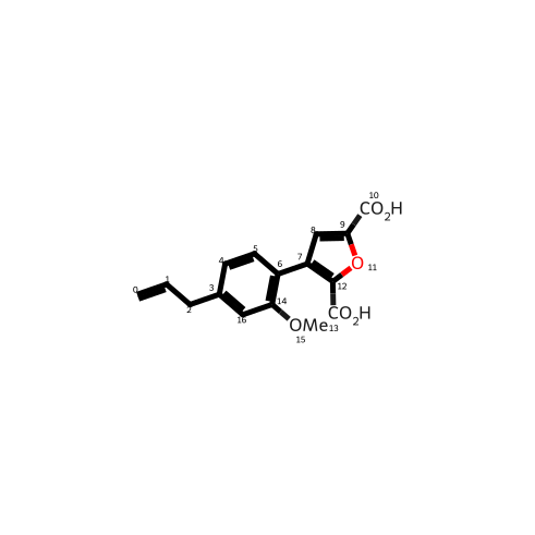 C=CCc1ccc(-c2cc(C(=O)O)oc2C(=O)O)c(OC)c1